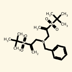 C=C(CN(CC(=C)S(=O)(=O)C(C)(C)C)Cc1ccccc1)S(=O)(=O)C(C)(C)C